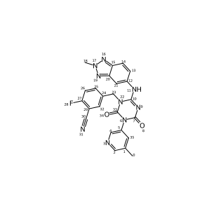 Cc1cncc(-n2c(=O)nc(Nc3ccc4nn(C)nc4c3)n(Cc3ccc(F)c(C#N)c3)c2=O)c1